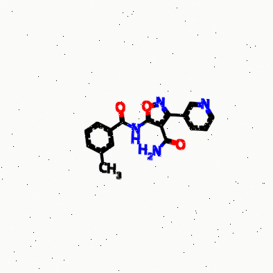 Cc1cccc(C(=O)Nc2onc(-c3cccnc3)c2C(N)=O)c1